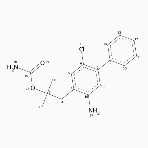 CC(C)(Cc1cc(Cl)c(-c2ccccc2)cc1N)OC(N)=O